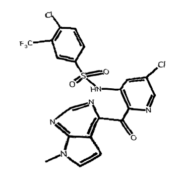 Cn1ccc2c(C(=O)c3ncc(Cl)cc3NS(=O)(=O)c3ccc(Cl)c(C(F)(F)F)c3)ncnc21